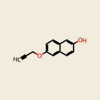 C#CCOc1ccc2cc(O)ccc2c1